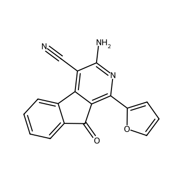 N#Cc1c(N)nc(-c2ccco2)c2c1-c1ccccc1C2=O